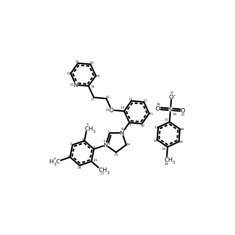 Cc1cc(C)c([N+]2=CN(c3ccccc3OCCc3ccccn3)CC2)c(C)c1.Cc1ccc(S(=O)(=O)[O-])cc1